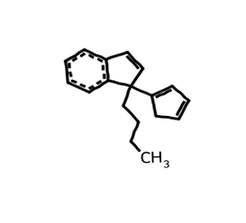 CCCCC1(C2=CC=CC2)C=Cc2ccccc21